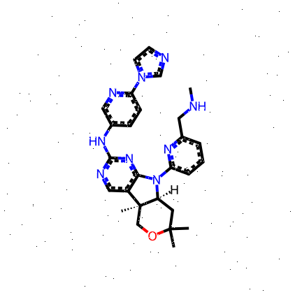 CNCc1cccc(N2c3nc(Nc4ccc(-n5ccnc5)nc4)ncc3[C@]3(C)COC(C)(C)C[C@H]23)n1